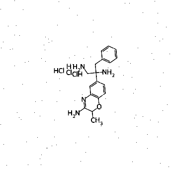 CC1Oc2ccc(C(N)(CN)Cc3ccccc3)cc2N=C1N.Cl.Cl.Cl